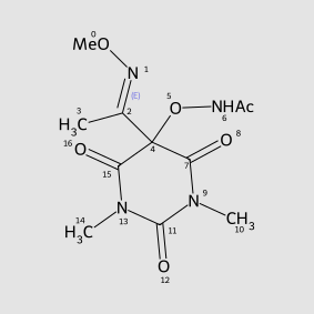 CO/N=C(\C)C1(ONC(C)=O)C(=O)N(C)C(=O)N(C)C1=O